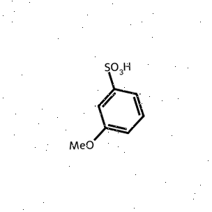 COc1[c]c(S(=O)(=O)O)[c]cc1